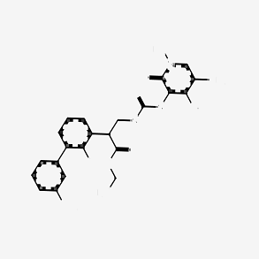 CCOC(=O)C(CNC(=O)Nc1c(O)c(C)cn(C)c1=O)c1cccc(-c2cccc(C)c2)c1F